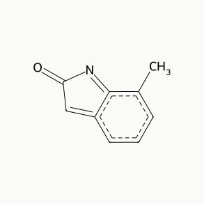 Cc1cccc2c1=NC(=O)C=2